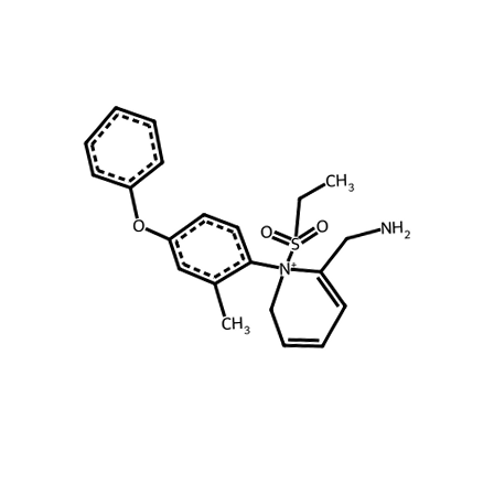 CCS(=O)(=O)[N+]1(c2ccc(Oc3ccccc3)cc2C)CC=CC=C1CN